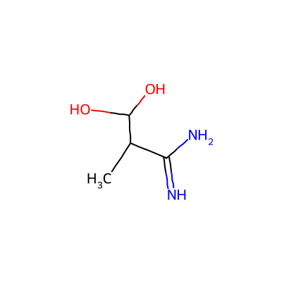 CC(C(=N)N)C(O)O